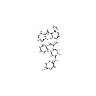 Cc1ccc(NC(=O)c2ccc(CN3CCN(I)CC3)cc2)cc1Nc1nccc(-c2cccnc2)n1